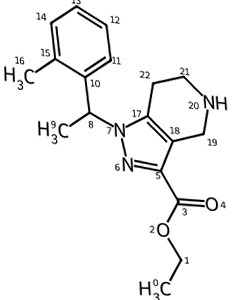 CCOC(=O)c1nn(C(C)c2ccccc2C)c2c1CNCC2